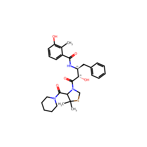 Cc1c(O)cccc1C(=O)N[C@@H](Cc1ccccc1)[C@H](O)C(=O)N1CSC(C)(C)C1C(=O)N1CCCCC1